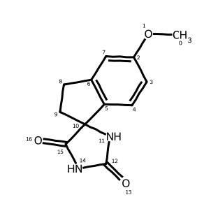 COc1ccc2c(c1)CCC21NC(=O)NC1=O